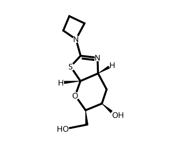 OC[C@H]1O[C@@H]2SC(N3CCC3)=N[C@@H]2C[C@H]1O